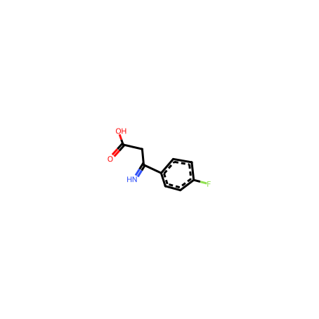 N=C(CC(=O)O)c1ccc(F)cc1